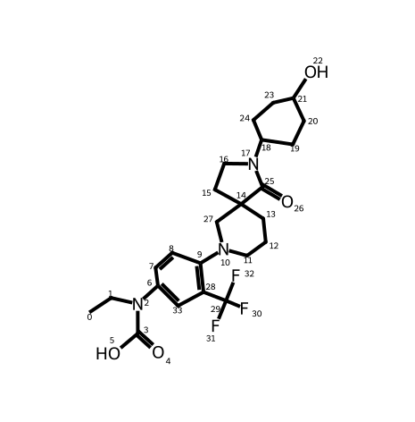 CCN(C(=O)O)c1ccc(N2CCCC3(CCN(C4CCC(O)CC4)C3=O)C2)c(C(F)(F)F)c1